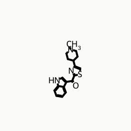 CN1CCC(c2csc(C(=O)c3c[nH]c4ccccc34)n2)CC1